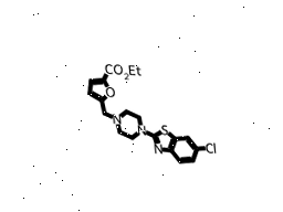 CCOC(=O)c1ccc(CN2CCN(c3nc4ccc(Cl)cc4s3)CC2)o1